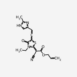 C=CCOC(=O)/C(C#N)=c1\sc(=C=Cc2c[nH]c(C)n2)c(=O)n1CC